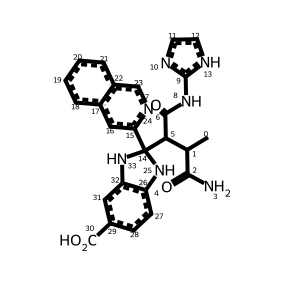 CC(C(N)=O)C(C(=O)Nc1ncc[nH]1)C1(c2cc3ccccc3cn2)Nc2ccc(C(=O)O)cc2N1